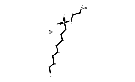 CCCCCCCCCCCCOS(=O)(=O)CCCCCCCCF.[Na]